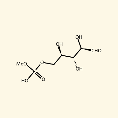 COP(=O)(O)OC[C@@H](O)[C@@H](O)[C@@H](O)C=O